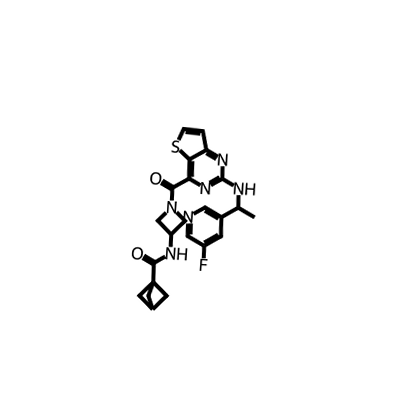 CC(Nc1nc(C(=O)N2CC(NC(=O)C34CC(C3)C4)C2)c2sccc2n1)c1cncc(F)c1